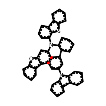 c1cc(-c2ccccc2N(c2ccc3c(c2)oc2ccccc23)c2cccc3c2sc2ccccc23)cc(-n2c3ccccc3c3ccccc32)c1